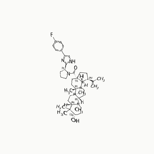 C=C(C)[C@@H]1CC[C@]2(C(=O)N3CCC[C@H]3c3nc(-c4ccc(F)cc4)c[nH]3)CC[C@]3(C)[C@H](CC[C@@H]4[C@@]5(C)CC[C@H](O)C(C)(C)[C@@H]5CC[C@]43C)[C@@H]12